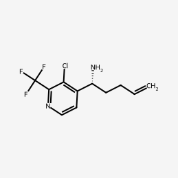 C=CCC[C@@H](N)c1ccnc(C(F)(F)F)c1Cl